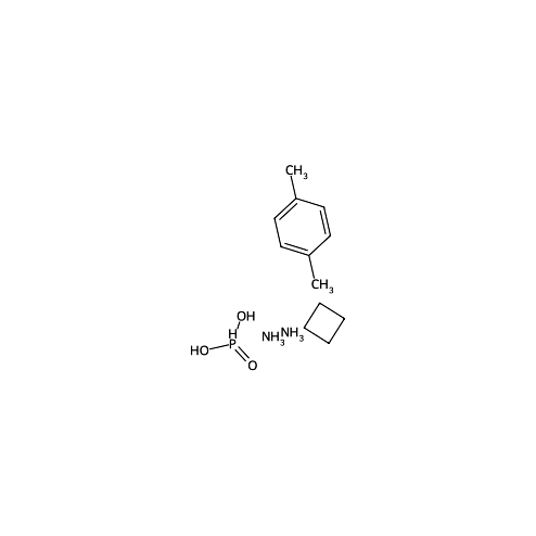 C1CCC1.Cc1ccc(C)cc1.N.N.O=[PH](O)O